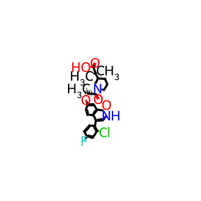 C[C@@H](Oc1ccc2c(-c3ccc(F)cc3Cl)c[nH]c(=O)c2c1)C(=O)N1CCCC(C(C)(C)C(=O)O)C1